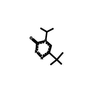 CC(C)n1cc(C(C)(C)C)nnc1=O